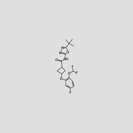 CC(C)(C)c1nnc(NC(=O)C2CC(Oc3cc(F)ccc3OC(F)F)C2)o1